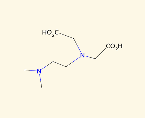 CN(C)CCN(CC(=O)O)CC(=O)O